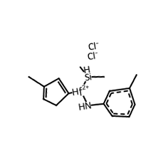 CC1=CC[C]([Hf+2]([NH]c2cccc(C)c2)[SiH](C)C)=C1.[Cl-].[Cl-]